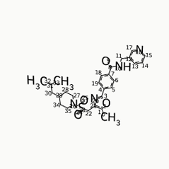 Cc1oc(-c2ccc(C(=O)NCc3cccnc3)cc2)nc1CS(=O)(=O)N1CCC(CC(C)C)CC1